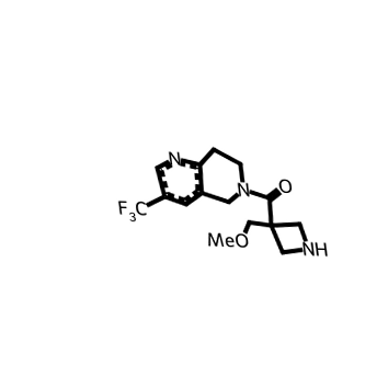 COCC1(C(=O)N2CCc3ncc(C(F)(F)F)cc3C2)CNC1